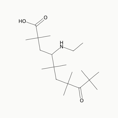 CCNC(CC(C)(C)C(=O)O)C(C)(C)CC(C)(C)C(=O)C(C)(C)C